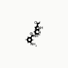 CC(=O)c1cc2cc(NC(=O)c3cccc(N)c3)cnc2[nH]1